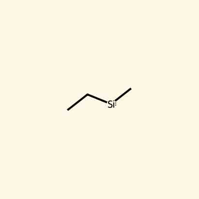 CC[Si]C